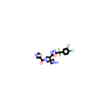 O=C(c1cncs1)N1CC(c2nnc(C(F)(F)c3ccc(Cl)c(Cl)c3)o2)C2(CNC2)C1